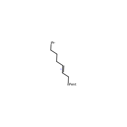 CCCCCC/C=C/CCC[C](C)C